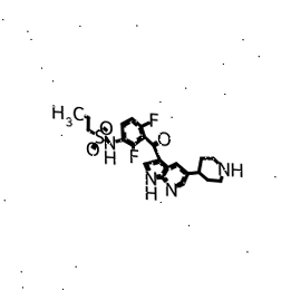 CCCS(=O)(=O)Nc1ccc(F)c(C(=O)c2c[nH]c3ncc(C4CCNCC4)cc23)c1F